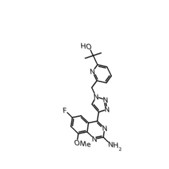 COc1cc(F)cc2c(-c3cn(Cc4cccc(C(C)(C)O)n4)nn3)nc(N)nc12